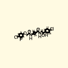 O=C(COc1ccc(Cl)c(F)c1)NC12CC(C(=O)NC[C@@H](O)c3ccc(Cl)cc3)(C1)C2